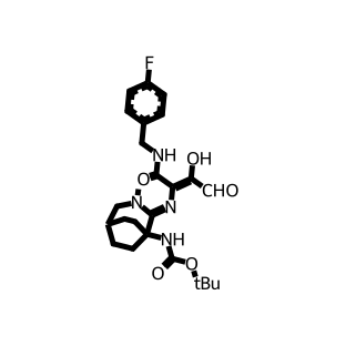 CN1CC2CCC(NC(=O)OC(C)(C)C)(CC2)/C1=N/C(C(=O)NCc1ccc(F)cc1)=C(/O)C=O